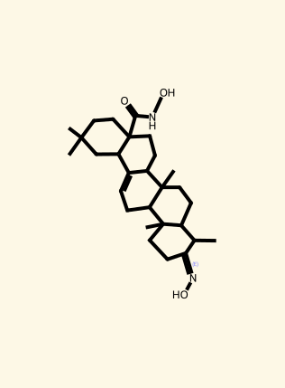 CC1/C(=N/O)CCC2(C)C1CCC1(C)C3CCC4(C(=O)NO)CCC(C)(C)CC4C3=CCC12